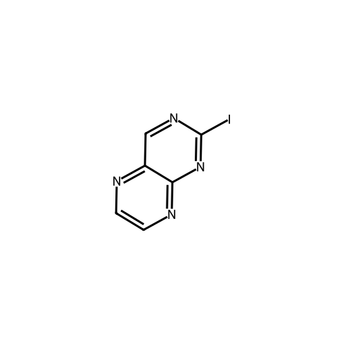 Ic1ncc2nccnc2n1